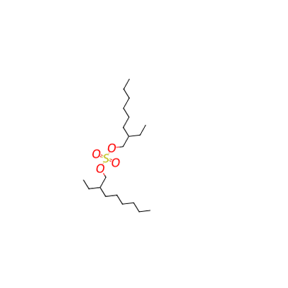 CCCCCCC(CC)COS(=O)(=O)OCC(CC)CCCCCC